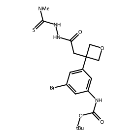 CNC(=S)NNC(=O)CC1(c2cc(Br)cc(NC(=O)OC(C)(C)C)c2)COC1